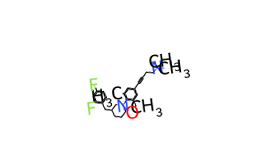 Cc1cc(C#CCCN(C)C)cc(C)c1N1CC(Cc2ccc(F)cc2F)CCC1=O